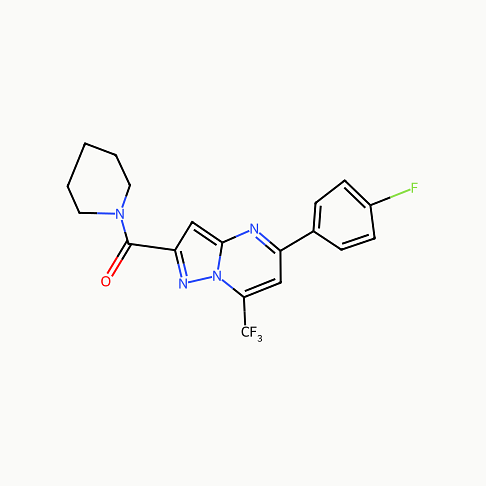 O=C(c1cc2nc(-c3ccc(F)cc3)cc(C(F)(F)F)n2n1)N1CCCCC1